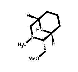 COC[C@H]1[C@H]2CCC[C@@H](CN1C)N2